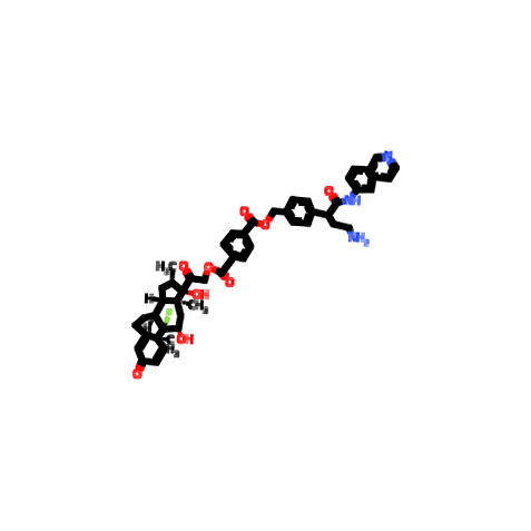 C[C@@H]1C[C@H]2[C@@H]3CCC4=CC(=O)C=C[C@]4(C)[C@@]3(F)[C@@H](O)C[C@]2(C)[C@@]1(O)C(=O)COC(=O)c1ccc(C(=O)OCc2ccc(C(CCN)C(=O)Nc3ccc4cnccc4c3)cc2)cc1